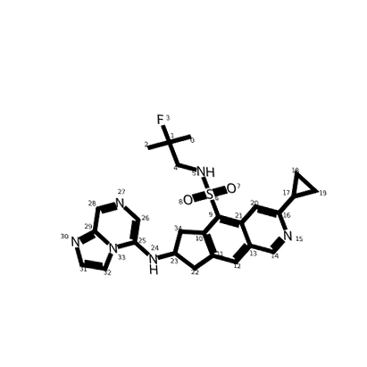 CC(C)(F)CNS(=O)(=O)c1c2c(cc3cnc(C4CC4)cc13)CC(Nc1cncc3nccn13)C2